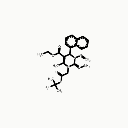 C=NN1/C(=N\N)N(CC(=O)OC(C)(C)C)C(C)=C(C(=O)OCC)C1c1cccc2ccccc12